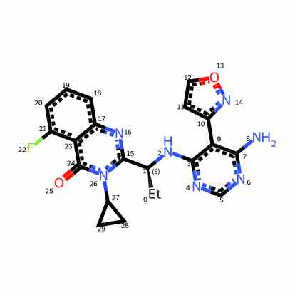 CC[C@H](Nc1ncnc(N)c1-c1ccon1)c1nc2cccc(F)c2c(=O)n1C1CC1